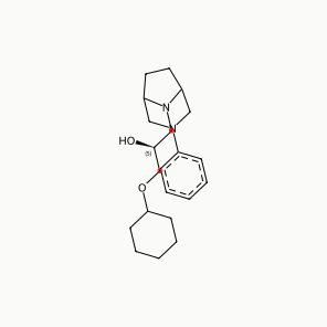 O[C@H](COC1CCCCC1)CN1C2CCC1CN(c1ccccc1)C2